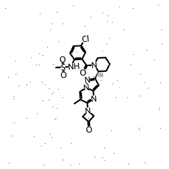 Cc1cn2nc([C@@H]3CCCCN3C(=O)c3cc(Cl)ccc3NS(C)(=O)=O)cc2nc1N1CC(=O)C1